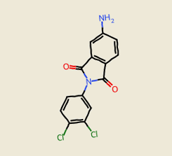 Nc1ccc2c(c1)C(=O)N(c1ccc(Cl)c(Cl)c1)C2=O